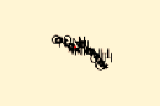 CC(C)(C)c1cc(NC(=O)Nc2ccc(Nc3ncnc(N)c3C(=N)c3ccc(CC(=O)N4CCOCC4)cc3)cc2)no1